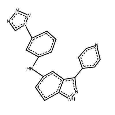 c1cc(Nc2ccc3[nH]nc(-c4ccncc4)c3c2)cc(-n2cnnn2)c1